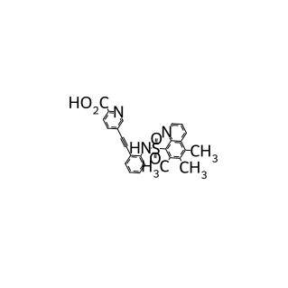 Cc1c(C)c(S(=O)(=O)Nc2ccccc2C#Cc2ccc(C(=O)O)nc2)c2ncccc2c1C